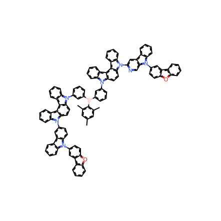 Cc1cc(C)c(B(c2cccc(-n3c4ccccc4c4c5c6ccccc6n(-c6ccc7c(c6)c6ccccc6n7-c6ccc7oc8ccccc8c7c6)c5ccc43)c2)c2cccc(-n3c4ccccc4c4c5c6ccccc6n(-c6cc7c8ccccc8n(-c8ccc9oc%10ccccc%10c9c8)c7cn6)c5ccc43)c2)c(C)c1